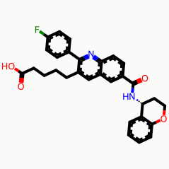 O=C(O)CCCCc1cc2cc(C(=O)N[C@@H]3CCOc4ccccc43)ccc2nc1-c1ccc(F)cc1